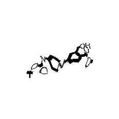 COC(=O)c1ccc(N2CCC(N(C)C(=O)OC(C)(C)C)CC2)cc1CO